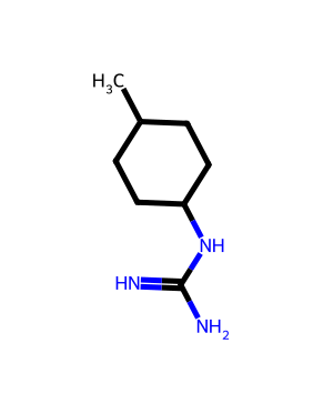 CC1CCC(NC(=N)N)CC1